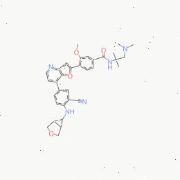 COc1cc(C(=O)NC(C)(C)CN(C)C)ccc1-c1cc2nccc(-c3ccc(NC4C5COCC54)c(C#N)c3)c2o1